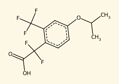 CC(C)Oc1ccc(C(F)(F)C(=O)O)c(C(F)(F)F)c1